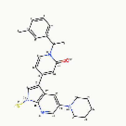 Cc1cccc(C(C)n2ccc(-c3cn(S)c4ncc(N5CCCCC5)cc34)cc2=O)c1